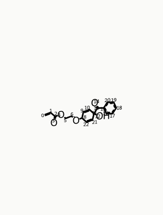 C=CC(=O)OCCOC1C=CC(O)(C(=O)c2ccccc2)C=C1